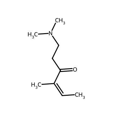 CC=C(C)C(=O)CCN(C)C